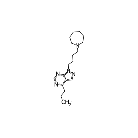 [CH2]CCc1ncnc2c1cnn2CCCCN1CCCCCC1